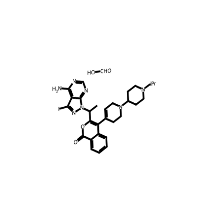 CC(C)N1CCC(N2CC=C(c3c(C(C)n4nc(I)c5c(N)ncnc54)oc(=O)c4ccccc34)CC2)CC1.O=CO